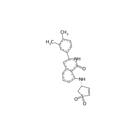 Cc1ccc(-c2cc3cccc(N[C@@H]4C=CS(=O)(=O)C4)c3c(=O)[nH]2)cc1C